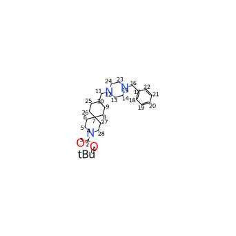 CC(C)(C)OC(=O)N1CCC2(CCC(CN3CCN(Cc4ccccc4)CC3)CC2)CC1